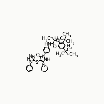 CCC(Oc1ccc(C(C)(C)CC)cc1C(C)(C)CC)C(=O)Nc1ccc(-n2[nH]c(N3CCCCC3)c(Sc3nnnn3-c3ccccc3)c2=O)cc1